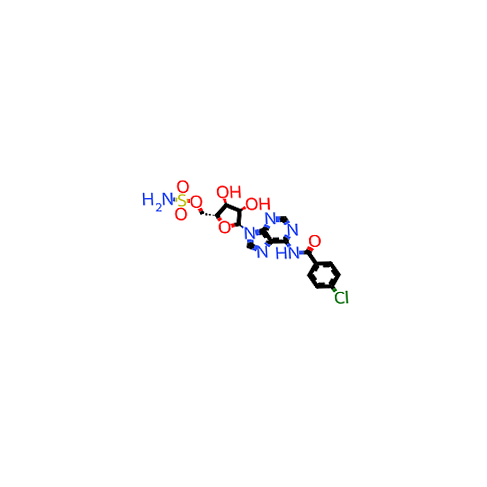 NS(=O)(=O)OC[C@H]1O[C@@H](n2cnc3c(NC(=O)c4ccc(Cl)cc4)ncnc32)[C@H](O)[C@@H]1O